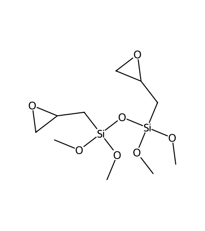 CO[Si](CC1CO1)(OC)O[Si](CC1CO1)(OC)OC